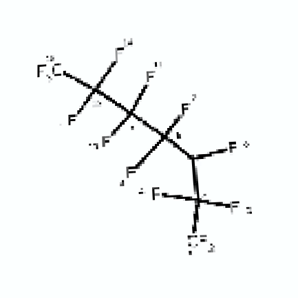 F[C](C(F)(F)C(F)(F)F)C(F)(F)C(F)(F)C(F)(F)C(F)(F)F